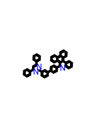 c1ccc(-c2cc(-c3ccccc3)nc(-c3cccc(-c4ccc(-c5nc6ccccc6c6c7ccccc7c7ccccc7c56)cc4)c3)n2)cc1